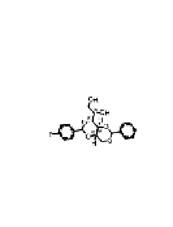 OC[C@@H](O)[C@H]1OC(c2ccc(F)cc2)O[C@H]2COC(c3ccccc3)O[C@@H]12